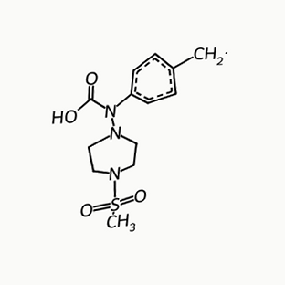 [CH2]c1ccc(N(C(=O)O)N2CCN(S(C)(=O)=O)CC2)cc1